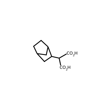 O=C(O)C(C(=O)O)C1CC2CCC1C2